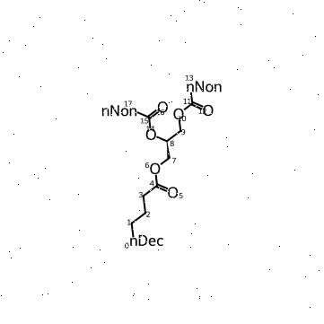 CCCCCCCCCCCCCC(=O)OC[C@H](COC(=O)CCCCCCCCC)OC(=O)CCCCCCCCC